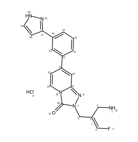 Cl.NC/C(=C\F)Cn1nc2cc(-c3cccc(-c4cc[nH]n4)c3)ccn2c1=O